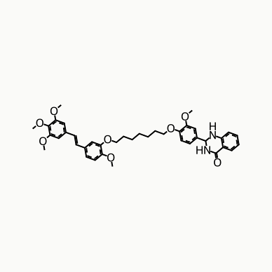 COc1cc(C2NC(=O)c3ccccc3N2)ccc1OCCCCCCCOc1cc(C=Cc2cc(OC)c(OC)c(OC)c2)ccc1OC